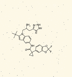 BC(CC1=NNNN1)Cn1c(C(C)(C)C)cc2cc(NC(=O)C3(c4ccc5c(c4)OC(F)(F)O5)CC3)ccc21